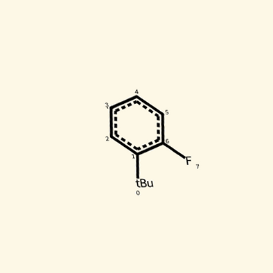 CC(C)(C)c1c[c]ccc1F